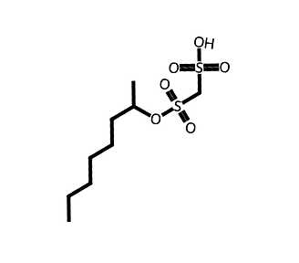 CCCCCCC(C)OS(=O)(=O)CS(=O)(=O)O